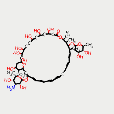 CC1/C=C/C=C/CC/C=C/C=C/C=C/C=C/C(OC2O[C@H](C)[C@@H](O)[C@H](N)[C@H]2O)CC2OC(O)(CC(O)C(O)CCC(O)CC(O)CC(O)CC(=O)OC(C)C(C)C1OC1C[C@@H](O)[C@@H](O)[C@H](C)O1)CC(O)C2C(=O)O